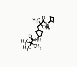 CC(C)(C)C(=O)NC1CCC(CC(C)(C)C(=O)NC2CCC2)C1